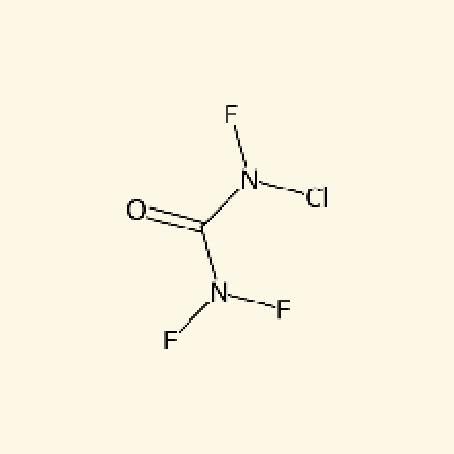 O=C(N(F)F)N(F)Cl